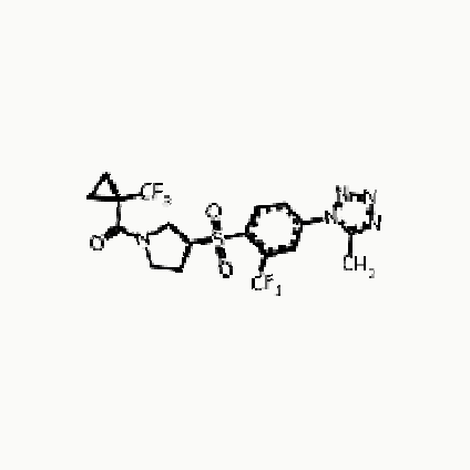 Cc1nnnn1-c1ccc(S(=O)(=O)C2CCN(C(=O)C3(C(F)(F)F)CC3)C2)c(C(F)(F)F)c1